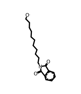 [O]CCCCCCCCCCCN1C(=O)c2ccccc2C1=O